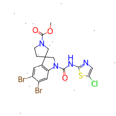 COC(=O)N1CCC2(C1)CN(C(=O)Nc1ncc(Cl)s1)c1cc(Br)c(Br)cc12